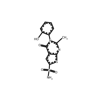 Cc1nc2sc(S(N)(=O)=O)cc2c(=O)n1-c1ccccc1O